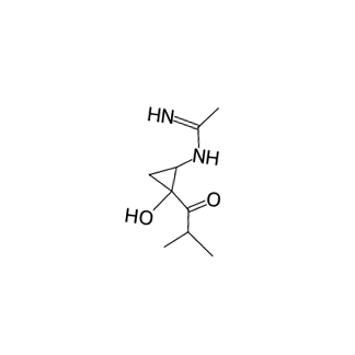 CC(=N)NC1CC1(O)C(=O)C(C)C